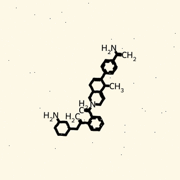 C=C(N)c1ccc(C2=CCC3CN(C(=C)c4ccccc4C(=C)CC4CCCC(N)C4)CC=C3C2C)cc1